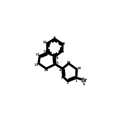 BrC1=CC=C(C2=c3ccccc3=CCC2)CC1